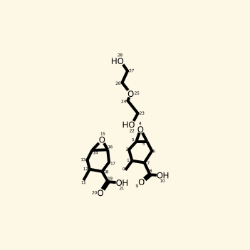 CC1CC2OC2CC1C(=O)O.CC1CC2OC2CC1C(=O)O.OCCOCCO